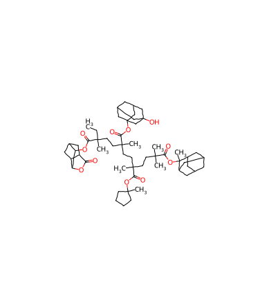 CCC(C)(CCC(C)(CCC(C)(CCC(C)(C)C(=O)OC1(C)C2CC3CC(C2)CC1C3)C(=O)OC1(C)CCCC1)C(=O)OC12CC3CC(CC(O)(C3)C1)C2)C(=O)OC1C2CC3C(=O)OC1C3C2